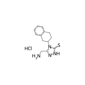 Cl.NCc1n[nH]c(=S)n1C1CCc2ccccc2C1